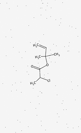 C=CC(C)(C)OC(=O)C(C)Cl